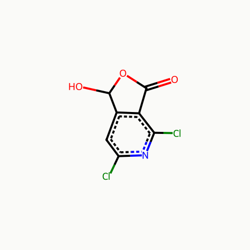 O=C1OC(O)c2cc(Cl)nc(Cl)c21